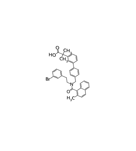 Cc1ccc2ccccc2c1C(=O)N(CCc1cccc(Br)c1)Cc1ccc(-c2cccc(C(C)(C)C(=O)O)c2)cc1